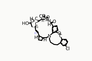 C[C@@H]1[C@@H](C)C[C@@H](CC(=O)O)/C=C/[C@@H]2CC[C@H]2CN2CCCCc3cc(Cl)ccc3COc3ccc(cc32)C(=O)NS1(=O)=O